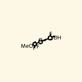 COc1ccc(C2CCC(C#Cc3ccc(CO)c(F)c3)OC2)c(F)c1F